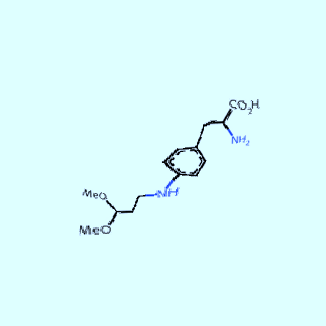 COC(CCNc1ccc(CC(N)C(=O)O)cc1)OC